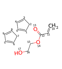 C1=CCC=C1.C1=CCC=C1.C=CC(=O)OCCO